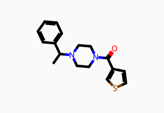 CC(c1ccccc1)N1CCN(C(=O)c2ccsc2)CC1